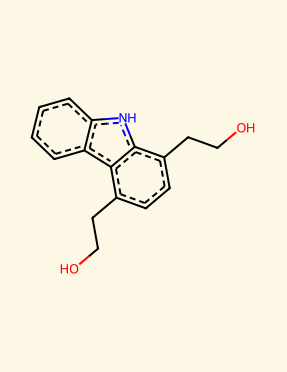 OCCc1ccc(CCO)c2c1[nH]c1ccccc12